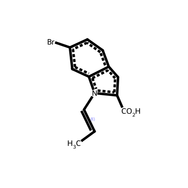 C/C=C/n1c(C(=O)O)cc2ccc(Br)cc21